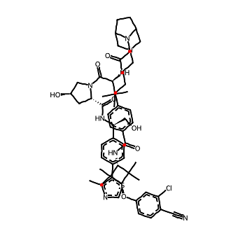 Cc1ncsc1-c1ccc([C@H](CO)NC(=O)[C@@H]2C[C@@H](O)CN2C(=O)[C@@H](NC(=O)CN2C3CCC2CN(CCCCc2ccc(C(=O)N[C@H]4C(C)(C)[C@H](Oc5ccc(C#N)c(Cl)c5)C4(C)C)cc2)C3)C(C)(C)C)cc1